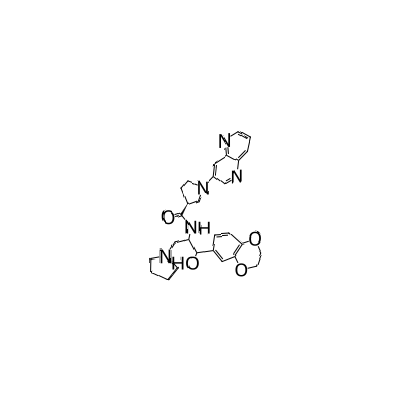 O=C(NC(CN1CCCC1)C(O)c1ccc2c(c1)OCCO2)[C@H]1CCN(c2cnc3cccnc3c2)C1